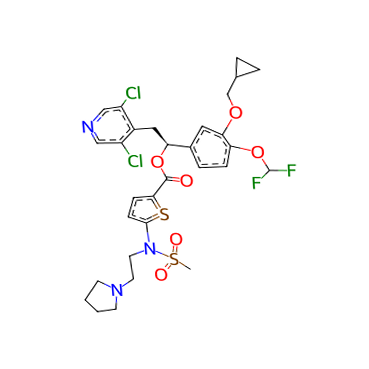 CS(=O)(=O)N(CCN1CCCC1)c1ccc(C(=O)O[C@@H](Cc2c(Cl)cncc2Cl)c2ccc(OC(F)F)c(OCC3CC3)c2)s1